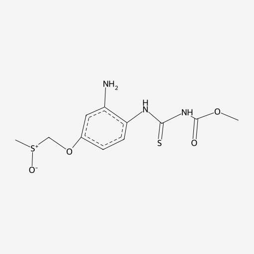 COC(=O)NC(=S)Nc1ccc(OC[S+](C)[O-])cc1N